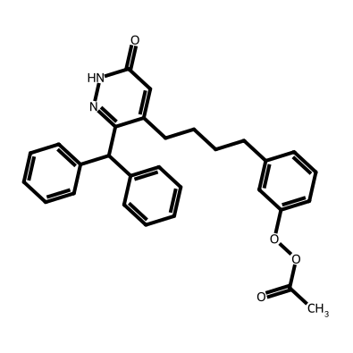 CC(=O)OOc1cccc(CCCCc2cc(=O)[nH]nc2C(c2ccccc2)c2ccccc2)c1